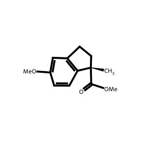 COC(=O)[C@@]1(C)CCc2cc(OC)ccc21